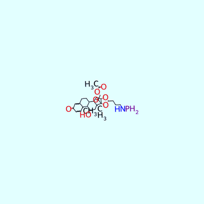 CC(=O)OCC(=O)C12OC(CCCNP)OC1CC1C3CCC4=CC(=O)C=CC4(C)C3C(O)CC12C